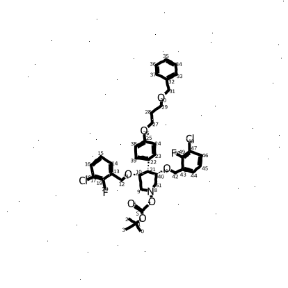 CC(C)(C)OC(=O)ON1C[C@H](OCc2cccc(Cl)c2F)[C@H](c2ccc(OCCCOCc3ccccc3)cc2)[C@H](OCc2cccc(Cl)c2F)C1